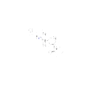 CN(C)/C(=N\CCCl)Nc1cncc(N2CCCC2=O)c1